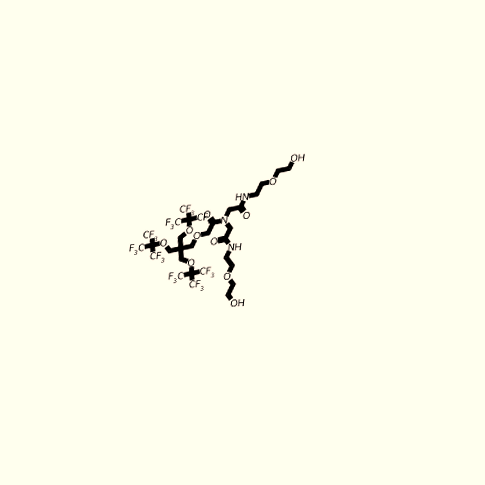 O=C(CN(CC(=O)NCCOCCO)C(=O)COCC(COC(C(F)(F)F)(C(F)(F)F)C(F)(F)F)(COC(C(F)(F)F)(C(F)(F)F)C(F)(F)F)COC(C(F)(F)F)(C(F)(F)F)C(F)(F)F)NCCOCCO